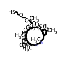 C/C1=C\C=C\[C@@H](C)[C@@]2(O)C[C@H](OC(=O)N2)[C@@H](C)[C@@H]2O[C@@]2(C)[C@@H](OC(=O)[C@H](C)OCCOCCS)CC(=O)N(C)c2cc(cc(C)c2Cl)C1